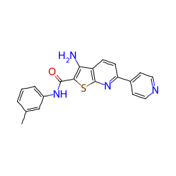 Cc1cccc(NC(=O)c2sc3nc(-c4ccncc4)ccc3c2N)c1